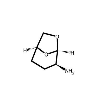 N[C@H]1CC[C@H]2CO[C@@H]1O2